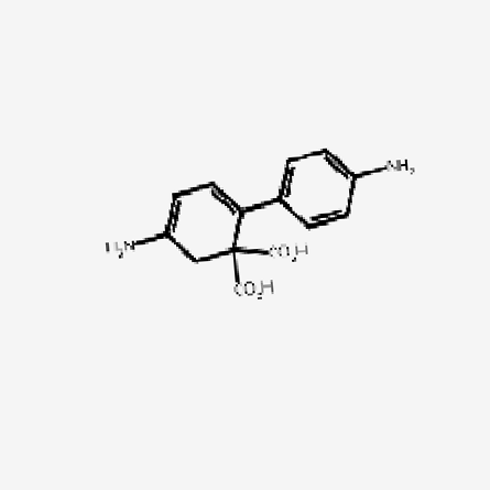 NC1=CC=C(c2ccc(N)cc2)C(C(=O)O)(C(=O)O)C1